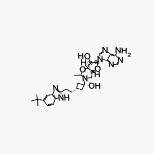 CC1O[C@H]2[C@@H](O)[C@H](n3cnc4c(N)ncnc43)O[C@@H]2CN1[C@]1(O)C[C@@H](CCc2nc3cc(C(C)(C)C)ccc3[nH]2)C1